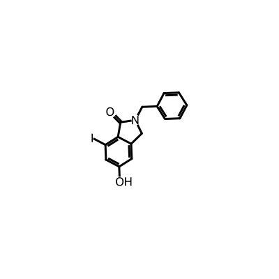 O=C1c2c(I)cc(O)cc2CN1Cc1ccccc1